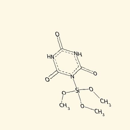 CO[Si](OC)(OC)n1c(=O)[nH]c(=O)[nH]c1=O